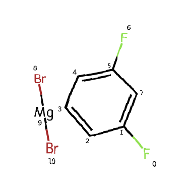 Fc1[c]ccc(F)c1.[Br][Mg][Br]